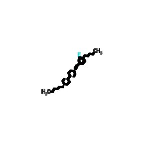 CCCCCC[C@H]1CC[C@H]([C@H]2CC[C@H](C#Cc3ccc(CCCCC)c(F)c3)CC2)CC1